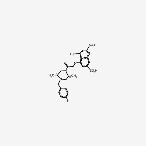 C[C@@H]1CN(C(=O)COc2cc(S(=O)(=O)O)cc3cc(S(=O)(=O)O)cc(N)c23)[C@@H](C)CN1Cc1ccc(F)cc1